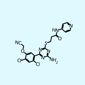 N#CCOc1cc(-c2nc(N)nc(SCCC(=O)Nc3ccncc3)n2)c(Cl)cc1Cl